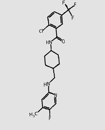 Cc1cc(NCC2CCC(NC(=O)c3cc(C(F)(F)F)ccc3Cl)CC2)ncc1F